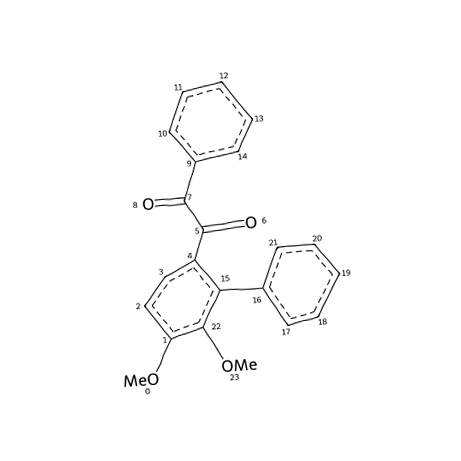 COc1ccc(C(=O)C(=O)c2ccccc2)c(-c2ccccc2)c1OC